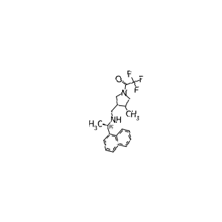 CC1CN(C(=O)C(F)(F)F)CC1CN[C@H](C)c1cccc2ccccc12